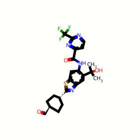 CC(C)(O)c1cc2nc([C@H]3CC[C@H](C=O)CC3)sc2cc1NC(=O)c1ccnc(C(F)(F)F)n1